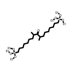 CCO[Si](CCCCCCCC(C)C(=O)C(C)CCCCCCC[Si](OCC)(OCC)OCC)(OCC)OCC